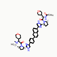 COC(=O)N[C@H](C(=O)N1[C@H](C)CC[C@H]1c1nc(-c2ccc3cc(-c4ccc(-c5c[nH]c([C@@H]6CC[C@@H](C)N6C(=O)[C@H](C6CCOCC6)N(C)C(=O)O)n5)cc4)ccc3c2)c[nH]1)C1CCOCC1